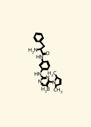 Bc1cnc(Nc2cccc(NC(=O)C(N)Cc3ccccc3)c2)nc1N1C(C)C=CC1C